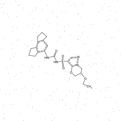 CCOC1COc2c(S(=O)(=O)NC(=O)Nc3cc4c(c5c3CCC5)CCC4)cnn2C1